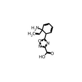 C=CC1(N)C=CC=CC1c1nc(C(=O)O)no1